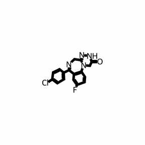 O=C1CN2C(=NN1)CN=C(c1ccc(Cl)cc1)c1cc(F)ccc12